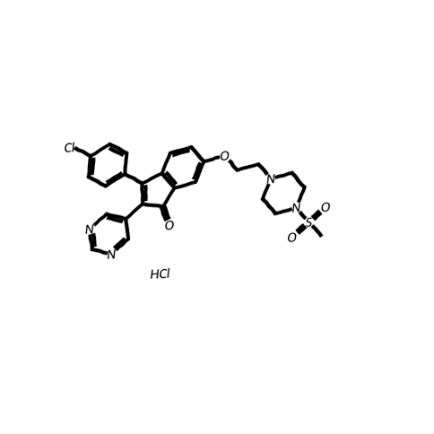 CS(=O)(=O)N1CCN(CCOc2ccc3c(c2)C(=O)C(c2cncnc2)=C3c2ccc(Cl)cc2)CC1.Cl